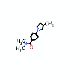 CC1CCN(c2ccc(C(=O)N(C)C)cc2)C1